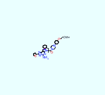 COCCOc1ccc(N2CCN(C(=O)C(C)(Cc3ccccc3)n3ncc4c3nc(N)n3nc(-c5ccco5)nc43)CC2)cc1